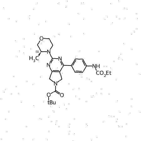 CCOC(=O)Nc1ccc(-c2nc(N3CCOC[C@@H]3C)nc3c2CN(C(=O)OC(C)(C)C)C3)cc1